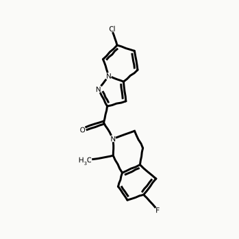 CC1c2ccc(F)cc2CCN1C(=O)c1cc2ccc(Cl)cn2n1